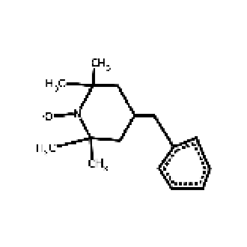 CC1(C)CC(Cc2ccccc2)CC(C)(C)N1[O]